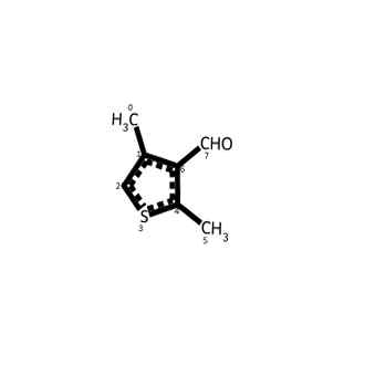 Cc1csc(C)c1C=O